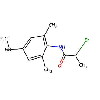 CBc1cc(C)c(NC(=O)C(C)Br)c(C)c1